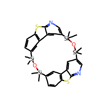 C[Si]1(C)O[Si](C)(C)c2ccc3sc4ncc(cc4c3c2)[Si](C)(C)O[Si](C)(C)c2cnc3sc4ccc1cc4c3c2